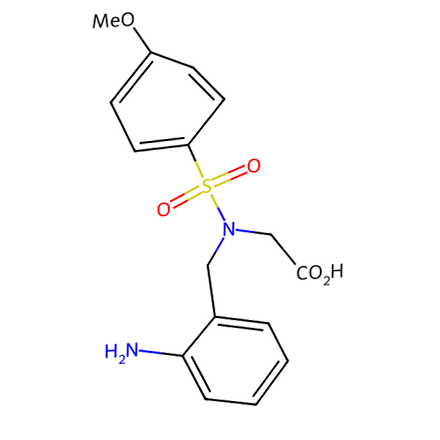 COc1ccc(S(=O)(=O)N(CC(=O)O)Cc2ccccc2N)cc1